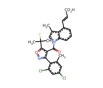 Cc1cc(Cl)cc(Cl)c1-c1noc(C(C)(C)F)c1C(=O)n1cc(C)c2c(/C=C/C(=O)O)cccc21